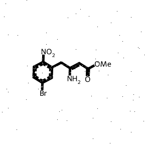 COC(=O)C=C(N)Cc1cc(Br)ccc1[N+](=O)[O-]